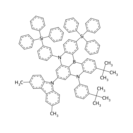 Cc1ccc2c(c1)c1cc(C)ccc1n2-c1cc2c3c(c1)N(c1cccc(C(C)(C)C)c1)c1cc(C(C)(C)C)ccc1B3c1cc([Si](c3ccccc3)(c3ccccc3)c3ccccc3)ccc1N2c1cccc([Si](c2ccccc2)(c2ccccc2)c2ccccc2)c1